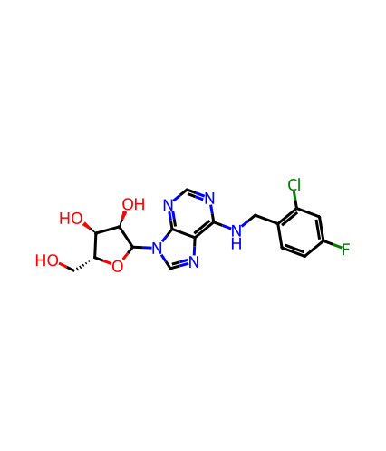 OC[C@H]1OC(n2cnc3c(NCc4ccc(F)cc4Cl)ncnc32)[C@H](O)[C@@H]1O